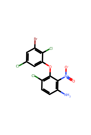 Nc1ccc(Cl)c(Oc2cc(Cl)cc(Br)c2Cl)c1[N+](=O)[O-]